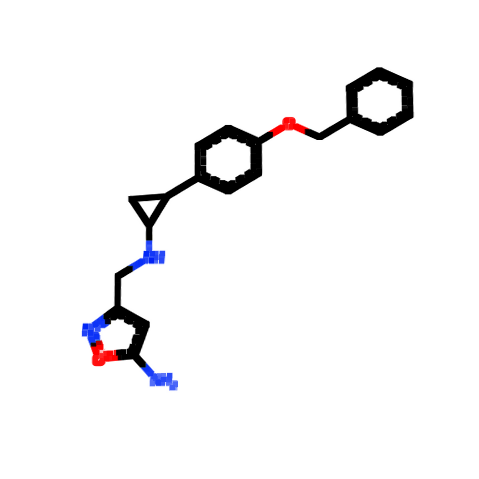 Nc1cc(CNC2CC2c2ccc(OCc3ccccc3)cc2)no1